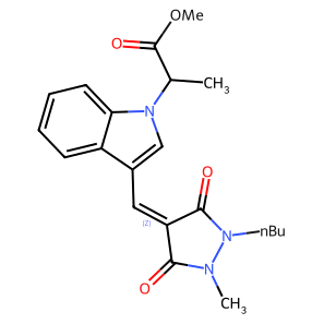 CCCCN1C(=O)/C(=C\c2cn(C(C)C(=O)OC)c3ccccc23)C(=O)N1C